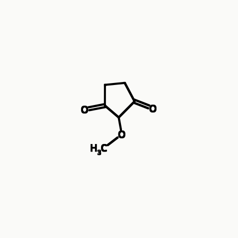 COC1C(=O)CCC1=O